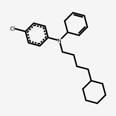 Clc1ccc(N(CCCCC2CCCCC2)C2C=CC=CC2)cc1